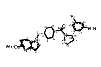 COc1ccc2c(ccn2C[C@H]2CC[C@H](C(=O)N3OCC[C@H]3c3cc(F)cc(C#N)c3)CC2)n1